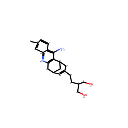 Cc1ccc2c(N)c3c(nc2c1)CC1C=C(CCC(CO)CO)CC3C1